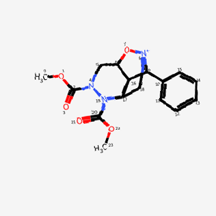 COC(=O)N1CC2O[N+]3=C(c4ccccc4)C2C(C3)N1C(=O)OC